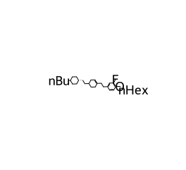 CCCCCCOc1ccc(CCC2=CCC(CC[C@H]3CC[C@H](CCCC)CC3)CC2)cc1F